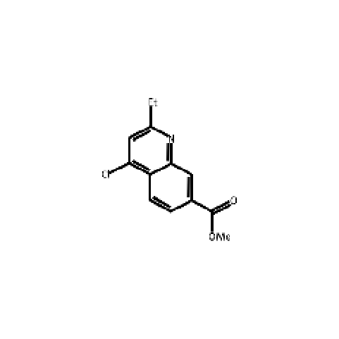 CCc1cc(Cl)c2ccc(C(=O)OC)cc2n1